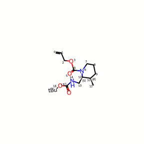 C=CCOC(=O)N1CCC[C@@H](C)[C@H]1CNC(=O)OC(C)(C)C